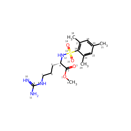 COC(=O)[C@H](CCCNC(=N)N)NS(=O)(=O)c1c(C)cc(C)cc1C